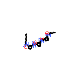 CCCCCCc1noc(-c2cccc(-c3noc(-c4cccc(-c5noc(-c6cccc(-c7noc(CCCC)n7)c6)n5)c4)n3)c2)n1